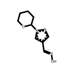 O/N=C/c1cnn(C2CCCCO2)c1